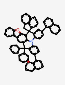 c1ccc(CC2(c3ccccc3)c3cc(-c4cccc5ccccc45)ccc3N3c4ccc(-c5cccc6ccccc56)cc4C(c4ccccc4)(c4ccccc4)c4cc5c(oc6ccccc65)c2c43)cc1